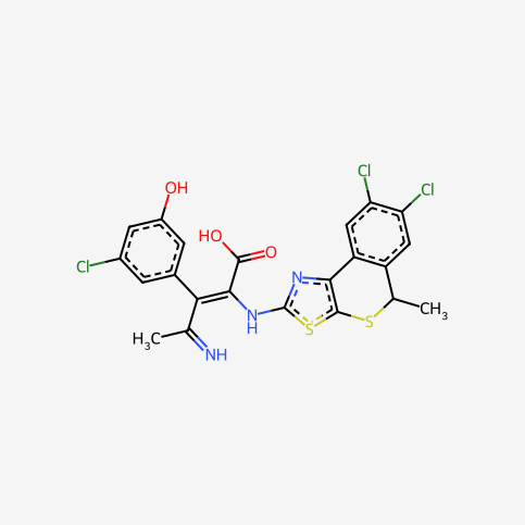 CC(=N)/C(=C(\Nc1nc2c(s1)SC(C)c1cc(Cl)c(Cl)cc1-2)C(=O)O)c1cc(O)cc(Cl)c1